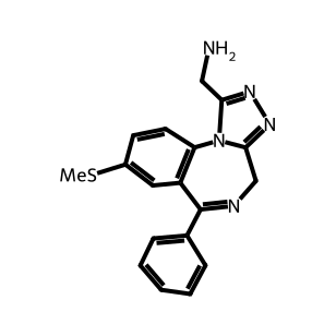 CSc1ccc2c(c1)C(c1ccccc1)=NCc1nnc(CN)n1-2